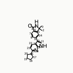 CC1(C)NC(=O)c2ccc(-c3c[nH]c4nc(C5CCCC5)ccc34)cc21